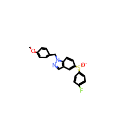 COc1ccc(Cn2ncc3cc([S+]([O-])c4ccc(F)cc4)ccc32)cc1